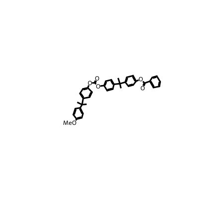 COc1ccc(C(C)(C)c2ccc(OC(=O)Oc3ccc(C(C)(C)c4ccc(OC(=O)c5ccccc5)cc4)cc3)cc2)cc1